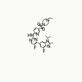 CCN1CCN(S(=O)(=O)c2ccc(Nc3ncc(F)c(-c4cc(F)c5nc(C)n(C(C)C)c5c4)n3)nc2)CC1